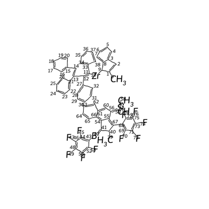 CC1=Cc2ccccc2[CH]1[Zr][C](=C(C(=Cc1ccccc1)c1ccccc1)c1ccccc1)c1ccccc1.CC1C(=Bc2c(F)c(F)c(F)c(F)c2F)c2c(c(=[Si](C)C)cc3ccccc23)=C1c1c(F)c(F)c(F)c(F)c1F